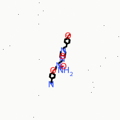 COc1ccc(CCN2CC3CN(CCN(CCOc4ccc(C#N)cc4)C(N)=O)CC(C2)O3)cc1